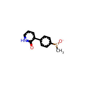 C[S+]([O-])c1ccc(-c2ccc[nH]c2=O)cc1